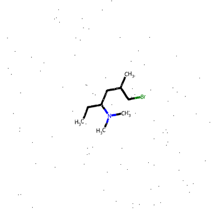 CCC(CC(C)CBr)N(C)C